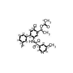 CC(=O)OC(C)c1cc(NS(=O)(=O)c2cncc(C)c2)c(-c2cccc(F)c2)cc1Cl